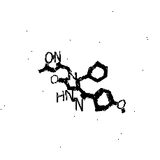 COc1ccc(-c2n[nH]c3c2C(C2CCCCC2)N(Cc2cc(C)on2)C3=O)cc1